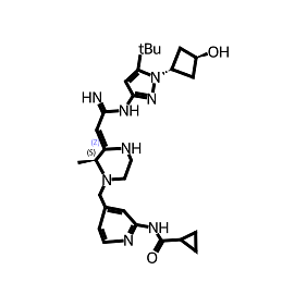 C[C@H]1/C(=C/C(=N)Nc2cc(C(C)(C)C)n([C@H]3C[C@H](O)C3)n2)NCCN1Cc1ccnc(NC(=O)C2CC2)c1